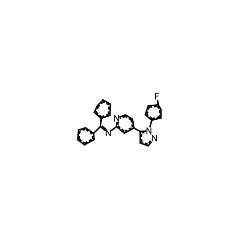 Fc1ccc(-n2nccc2-c2ccnc(N=C(c3ccccc3)c3ccccc3)c2)cc1